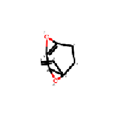 C=CC12CCC3=C(O3)C1O2